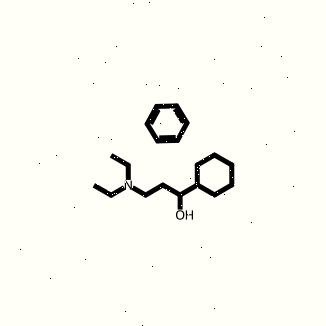 CCN(CC)CCC(O)C1CCCCC1.c1ccccc1